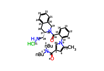 CCCCN(CCCC)C(=O)c1cc(C)n(-c2ccccc2C(=O)N2Cc3ccccc3C[C@H]2CN)c1.Cl